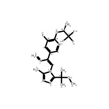 C=N/C(=C\n1c(C)nnc1C(C)(C)OC)c1cnc(O[C@@H](C)C(F)(F)F)c(F)c1